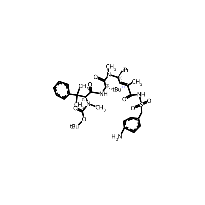 C/C(=C\[C@H](C(C)C)N(C)C(=O)[C@@H](NC(=O)[C@@H](N(C)C(=O)OC(C)(C)C)C(C)(C)c1ccccc1)C(C)(C)C)C(=O)NS(=O)(=O)Cc1ccc(N)cc1